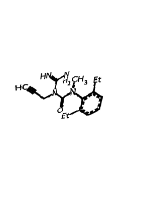 C#CCN(C(=N)N)C(=O)N(C)c1c(CC)cccc1CC